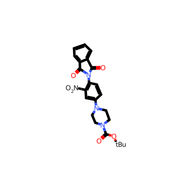 CC(C)(C)OC(=O)N1CCN(c2ccc(N3C(=O)c4ccccc4C3=O)c([N+](=O)[O-])c2)CC1